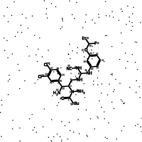 CCCCC(=O)N(N)C(CNC(NC#N)Nc1cccc(OC(F)CC)c1)C(N)c1ccc(Cl)c(Cl)c1